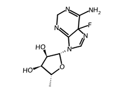 C[C@H]1O[C@@H](N2C=NC3(F)C(N)=NCN=C23)[C@H](O)[C@@H]1O